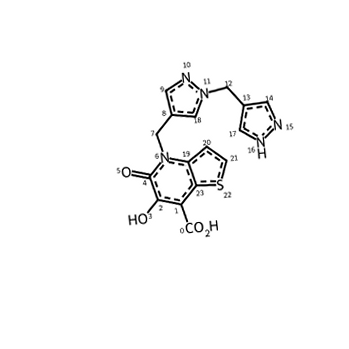 O=C(O)c1c(O)c(=O)n(Cc2cnn(Cc3cn[nH]c3)c2)c2ccsc12